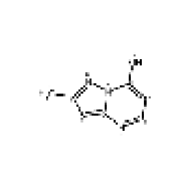 Cc1cc2nccc(O)n2n1